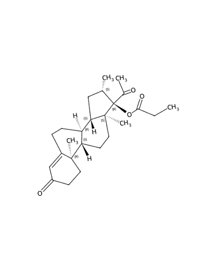 CCC(=O)O[C@]1(C(C)=O)[C@@H](C)C[C@H]2[C@@H]3CCC4=CC(=O)CC[C@]4(C)[C@H]3CC[C@@]21C